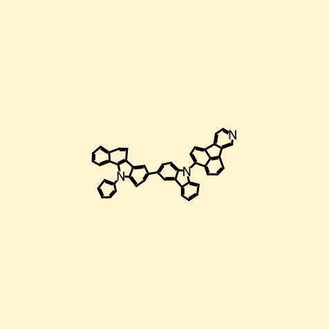 c1ccc(-n2c3ccc(-c4ccc5c(c4)c4ccccc4n5-c4ccc5c6c(cccc46)-c4cnccc4-5)cc3c3ccc4ccccc4c32)cc1